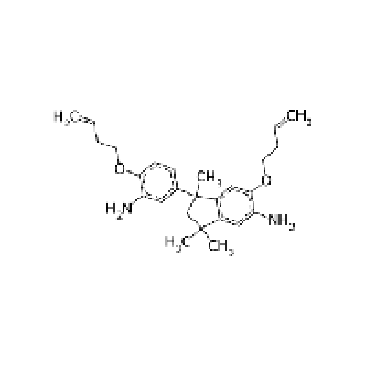 C=CCCOc1ccc(C2(C)CC(C)(C)c3cc(N)c(OCCC=C)cc32)cc1N